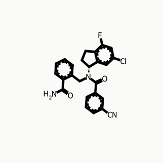 N#Cc1cccc(C(=O)N(Cc2ccccc2C(N)=O)[C@@H]2CCc3c(F)cc(Cl)cc32)c1